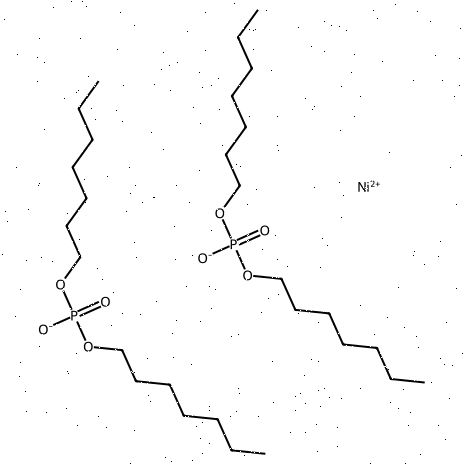 CCCCCCCOP(=O)([O-])OCCCCCCC.CCCCCCCOP(=O)([O-])OCCCCCCC.[Ni+2]